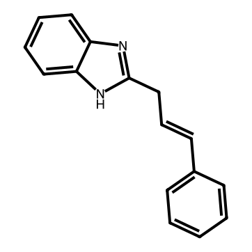 C(=Cc1ccccc1)Cc1nc2ccccc2[nH]1